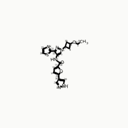 CCOC1CC(n2cc(NC(=O)c3ccc(-c4cn[nH]c4)o3)c(-c3nccs3)n2)C1